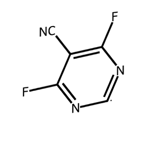 N#Cc1c(F)n[c]nc1F